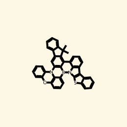 CC1(C)c2ccccc2-c2cc3c4c(c21)-c1cccc2c5c6ccccc6sc5n(c12)B4c1cccc2c1N3c1ccccc1O2